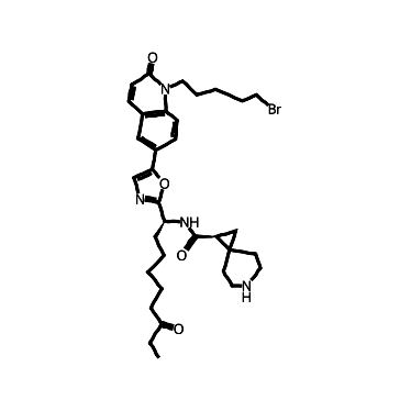 CCC(=O)CCCCC[C@H](NC(=O)[C@H]1CC12CCNCC2)c1ncc(-c2ccc3c(ccc(=O)n3CCCCCBr)c2)o1